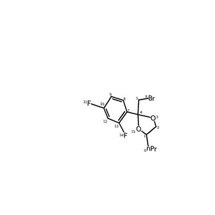 CCCC1COC(CBr)(c2ccc(F)cc2F)O1